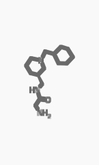 NCC(=O)NC[C@H]1CCCN(CC2CCCCC2)C1